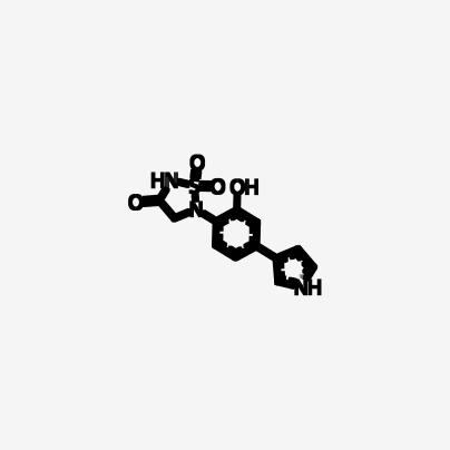 O=C1CN(c2ccc(-c3cc[nH]c3)cc2O)S(=O)(=O)N1